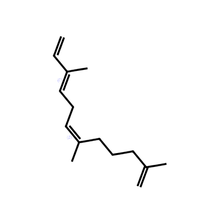 C=C/C(C)=C/C/C=C(/C)CCCC(=C)C